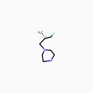 C[C@H](CF)CN1CC[N]CC1